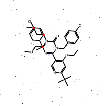 CCOc1cc(C(C)(C)C)ncc1/C(=N/C(C)(C)C1C=CC(Cl)=CC1)N(Cc1ccc(Cl)cc1)C(=O)N(CCOC)CCOC